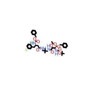 CC(=O)O[C@H](C(=O)NCC(C)(C)CNC(=O)CC(Cc1cc(F)ccc1F)NC(=O)OCc1ccccc1)[C@@H](COCc1ccccc1)NC(=O)OC(C)(C)C